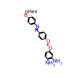 CCCCCCOc1ccc(N=Nc2ccc(OCOc3ccc(N)c(N)c3)cc2)cc1